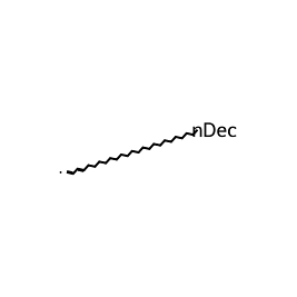 [CH]=C/C=C/CCCCCCCCCCCCCCCCCCCCCCCCCCCCCC